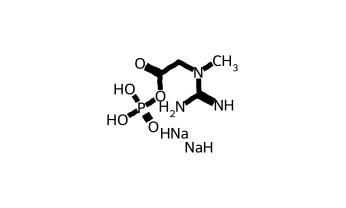 CN(CC(=O)OP(=O)(O)O)C(=N)N.[NaH].[NaH]